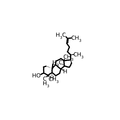 CC(C)=CCC[C@@H](C)[C@H]1CC[C@@]2(C)[C@@H]3CC[C@H]4C(C)(C)C(O)CC[C@@]45C[C@]35CC[C@]12C